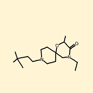 CCN1CC2(CCN(CCC(C)(C)C)CC2)OC(C)C1=O